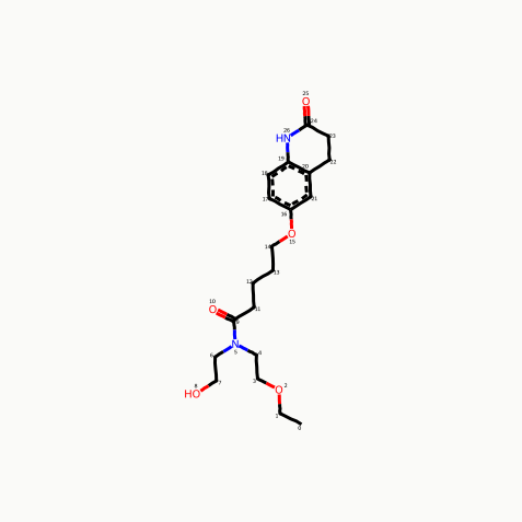 CCOCCN(CCO)C(=O)CCCCOc1ccc2c(c1)CCC(=O)N2